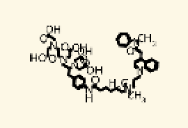 CN1/C(=C/c2cc[n+](CCC[N+](C)(C)CCCCCC(=O)Nc3ccc(CC(CN(CCN(CC(=O)O)CC(=O)O)CC(=O)O)N(CC(=O)O)CC(=O)O)cc3)c3ccccc23)Oc2ccccc21